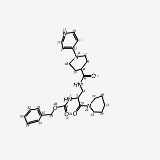 O=C(NC(CNC(=O)C1CCN(c2ccncc2)CC1)C(=O)N1CCCCC1)OCc1ccccc1